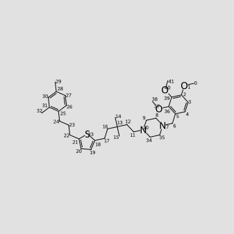 COc1ccc(CN2CCN(CCC(C)(C)CCc3ccc(CCCc4ccc(C)cc4C)s3)CC2)c(OC)c1OC